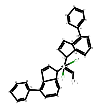 C[CH]=[Hf]([Cl])([Cl])([CH]1C=Cc2c(-c3ccccc3)cccc21)[CH]1C=Cc2c(-c3ccccc3)cccc21